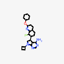 Nc1ncnc2c1c(-c1ccc3ccc(Oc4ccccc4)nc3c1F)cn2C1=CC=C1